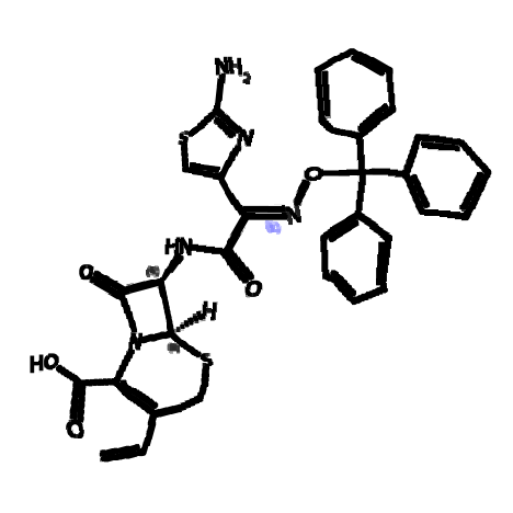 C=CC1=C(C(=O)O)N2C(=O)[C@@H](NC(=O)/C(=N/OC(c3ccccc3)(c3ccccc3)c3ccccc3)c3csc(N)n3)[C@H]2SC1